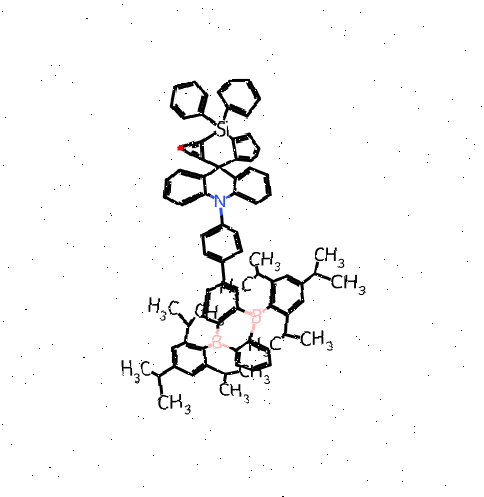 CC(C)c1cc(C(C)C)c(B2c3ccccc3B(c3c(C(C)C)cc(C(C)C)cc3C(C)C)c3cc(-c4ccc(N5c6ccccc6C6(c7ccccc75)c5ccccc5[Si](c5ccccc5)(c5ccccc5)c5ccccc56)cc4)ccc32)c(C(C)C)c1